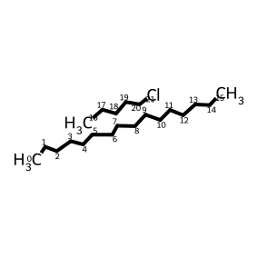 CCCCCCCCCCCCCCCC.CCCCCCl